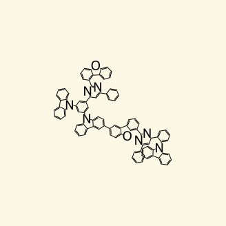 c1ccc(-c2cc(-c3ccccc3-n3c4ccccc4c4ccccc43)nc(-c3cccc4c3oc3ccc(-c5ccc6c(c5)c5ccccc5n6-c5cc(-c6cc(-c7ccccc7)nc(-c7cccc8oc9ccccc9c78)n6)cc(-n6c7ccccc7c7ccccc76)c5)cc34)n2)cc1